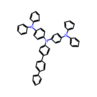 c1ccc(-c2ccc(-c3ccc(N(c4ccc(N(c5ccccc5)c5ccccc5)cc4)c4ccc(N(c5ccccc5)c5ccccc5)cc4)cc3)cc2)cc1